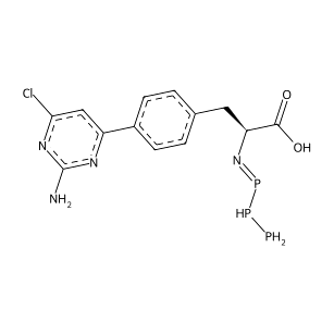 Nc1nc(Cl)cc(-c2ccc(C[C@H](/N=P/PP)C(=O)O)cc2)n1